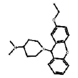 CCOc1ccc2c(c1)C(N1CCC(N(C)C)CC1)c1ccccc1O2